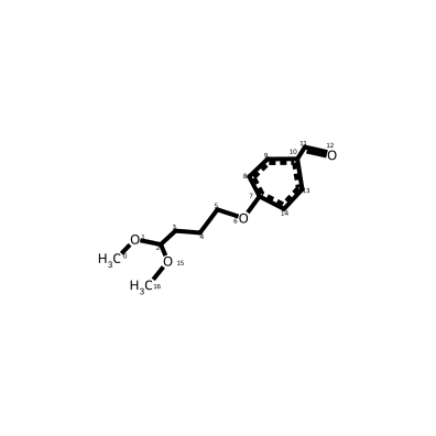 COC(CCCOc1ccc(C=O)cc1)OC